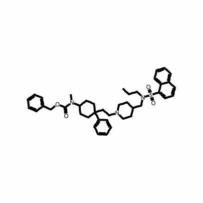 CCCN(CC1CCN(CCC2(c3ccccc3)CCC(N(C)C(=O)OCc3ccccc3)CC2)CC1)S(=O)(=O)c1cccc2ccccc12